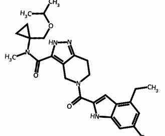 CCc1cc(F)cc2[nH]c(C(=O)N3CCc4n[nH]c(C(=O)N(C)C5(COC(C)C)CC5)c4C3)cc12